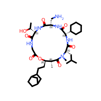 CC(C)C[C@H]1C(=O)N[C@@H](C2CCCCC2)C(=O)N[C@@H](CN)C(=O)N[C@@H](C(C)O)C(=O)NCC(=O)O[C@H](CCC2CC3CCC2C3)[C@@H](C)C(=O)N1C